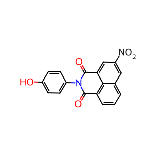 O=C1c2cccc3cc([N+](=O)[O-])cc(c23)C(=O)N1c1ccc(O)cc1